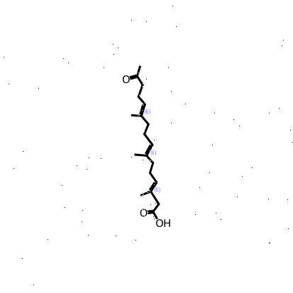 CC(=O)CC/C=C(\C)CC/C=C(\C)CC/C=C(\C)CC(=O)O